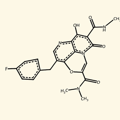 CNC(=O)c1c(O)c2ncc(Cc3ccc(F)cc3)c3c2n(c1=O)C=C(C(=O)N(C)C)O3